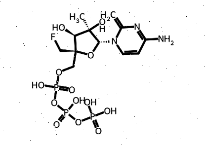 C=C1N=C(N)C=CN1[C@@H]1O[C@](CF)(COP(=O)(O)OP(=O)(O)OP(=O)(O)O)[C@@H](O)[C@@]1(C)O